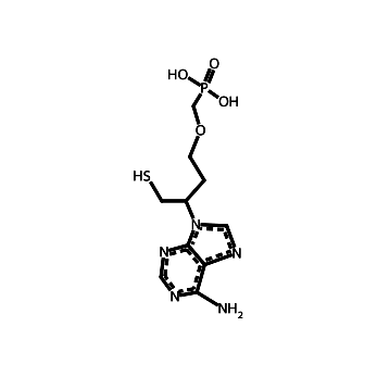 Nc1ncnc2c1ncn2C(CS)CCOCP(=O)(O)O